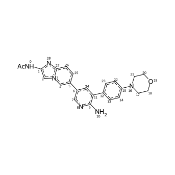 CC(=O)Nc1cn2cc(-c3cnc(N)c(-c4ccc(N5CCOCC5)cc4)c3)ccc2n1